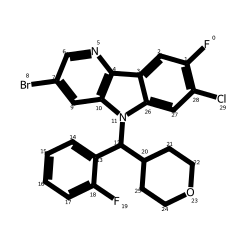 Fc1cc2c3ncc(Br)cc3n(C(c3ccccc3F)C3CCOCC3)c2cc1Cl